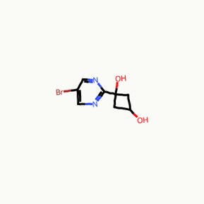 OC1CC(O)(c2ncc(Br)cn2)C1